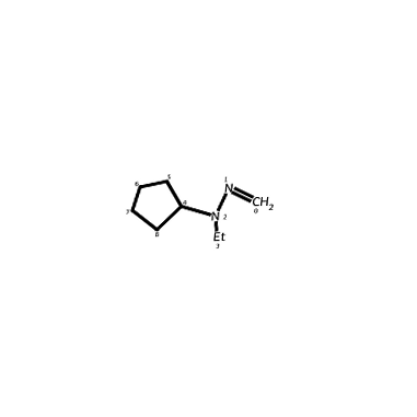 C=NN(CC)C1CCCC1